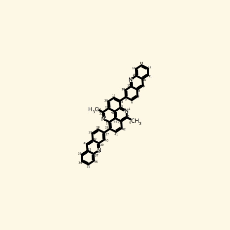 Cc1nc2c(-c3ccc4cc5ccccc5nc4c3)ccc3c(C)nc4c(-c5ccc6cc7ccccc7nc6c5)ccc1c4c32